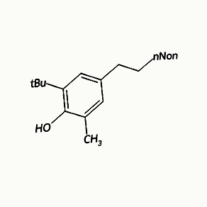 CCCCCCCCCCCc1cc(C)c(O)c(C(C)(C)C)c1